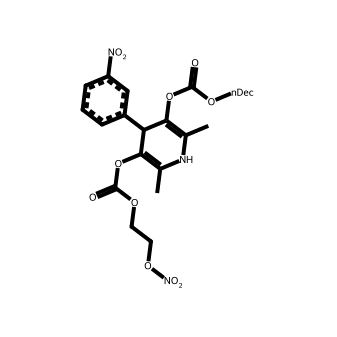 CCCCCCCCCCOC(=O)OC1=C(C)NC(C)=C(OC(=O)OCCO[N+](=O)[O-])C1c1cccc([N+](=O)[O-])c1